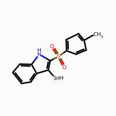 Cc1ccc(S(=O)(=O)c2[nH]c3ccccc3[c]2[SnH])cc1